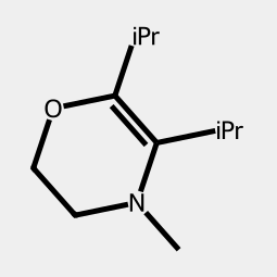 CC(C)C1=C(C(C)C)N(C)CCO1